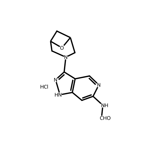 Cl.O=CNc1cc2[nH]nc(N3CC4CC(C3)O4)c2cn1